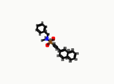 CN(Cc1ccccc1)S(=O)(=O)C#Cc1ccc2ccccc2c1